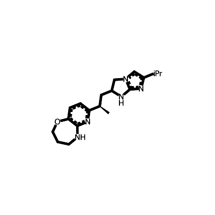 CC(C)c1cn2c(n1)NC(C[C@@H](C)c1ccc3c(n1)NCCCO3)C2